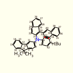 CC(C)(C)c1ccc(N(c2ccc3c(c2)-c2ccccc2C3(C)C)c2ccc3ccccc3c2-c2ccc3ccccc3c2)cc1